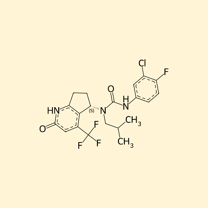 CC(C)CN(C(=O)Nc1ccc(F)c(Cl)c1)[C@H]1CCc2[nH]c(=O)cc(C(F)(F)F)c21